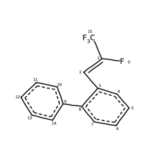 FC(=Cc1ccccc1-c1ccccc1)C(F)(F)F